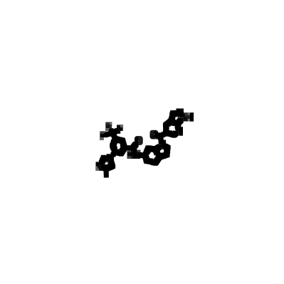 Cc1cn(-c2cc(C(=O)Nc3ccc4ccn(C(=O)c5cnc6[nH]ncc6c5)c4c3)cc(C(F)(F)F)c2)cn1